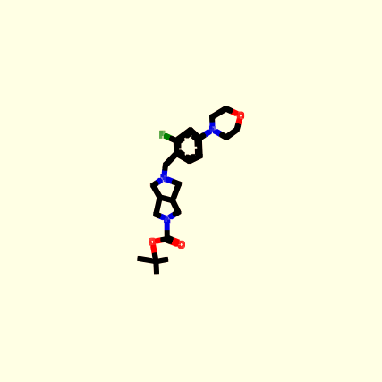 CC(C)(C)OC(=O)N1CC2CN(Cc3ccc(N4CCOCC4)cc3F)CC2C1